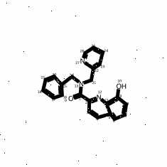 O=C(c1ccc2cccc(O)c2n1)N(Cc1ccccc1)Cc1ccccn1